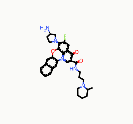 CC1CCCCN1CCCNC(=O)c1cn2c3c(c(N4CC[C@@H](N)C4)c(F)cc3c1=O)Oc1cc3ccccc3cc1-2